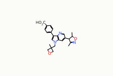 CC1=NOC(C)C1c1cnc2c(-c3ccc(C(=O)O)cc3)cn(CC3(C)COC3)c2c1